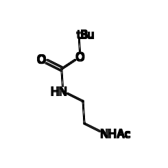 [CH2]C(=O)NCCNC(=O)OC(C)(C)C